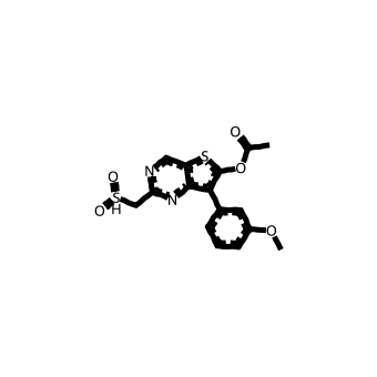 COc1cccc(-c2c(OC(C)=O)sc3cnc(C[SH](=O)=O)nc23)c1